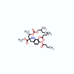 CCCC(=O)Oc1ccc(CC(N)(C[C@H](C)OC(=O)OCC(C)CC)C(=O)OC)cc1OC(=O)CCC